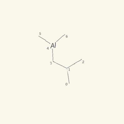 CC(C)[CH2][Al]([CH3])[CH3]